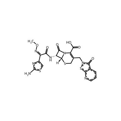 CO/N=C(\C(=O)N[C@@H]1C(=O)N2C(C(=O)O)=C(Cn3sc4ncccc4c3=O)CS[C@H]12)c1csc(N)n1